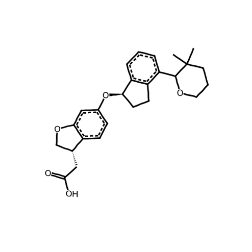 CC1(C)CCCOC1c1cccc2c1CC[C@H]2Oc1ccc2c(c1)OC[C@H]2CC(=O)O